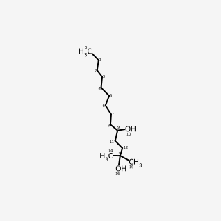 CCCCCCCCCC(O)CCC(C)(C)O